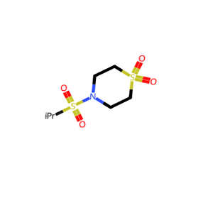 CC(C)S(=O)(=O)N1CCS(=O)(=O)CC1